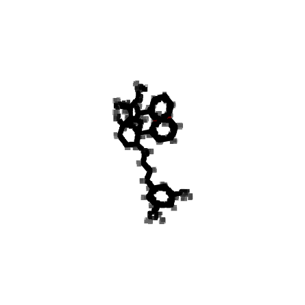 CC(c1ccccc1)N1[C@@H]2CC[C@H](OCC[I]c3cc(C(F)(F)F)cc(C(F)(F)F)c3)[C@@]1(c1ccccc1)C[C@@H]2C(=O)OC(C)(C)C